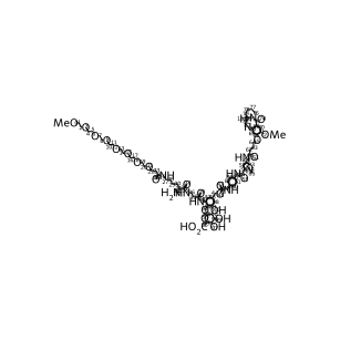 COCCOCCOCCOCCOCCOCCOCCOCCC(=O)NCCCC[C@H](N)C(=O)NCCC(=O)Nc1cc(COC(=O)Nc2ccc(NC(=O)c3cc(NC(=O)CCCOc4cc5c(cc4OC)C(=O)N4CCCC[C@H]4C=N5)cn3C)cc2)ccc1O[C@@H]1O[C@H](C(=O)O)[C@@H](O)[C@H](O)[C@H]1O